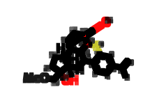 C=C(C)c1ccc2c(c1)S[C@]13CCC(=O)C=C1CC[C@@H]1[C@@H]3[C@@H]2C[C@@]2(C)[C@H]1CC[C@@]2(O)COC